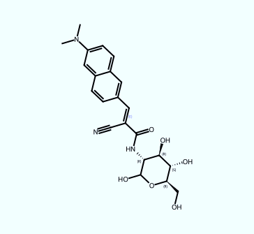 CN(C)c1ccc2cc(/C=C(\C#N)C(=O)N[C@H]3C(O)O[C@H](CO)[C@@H](O)[C@@H]3O)ccc2c1